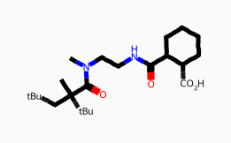 CN(CCNC(=O)C1CCCCC1C(=O)O)C(=O)C(C)(CC(C)(C)C)C(C)(C)C